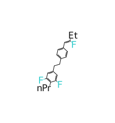 CCCc1c(F)cc(CCc2ccc(C=C(F)CC)cc2)cc1F